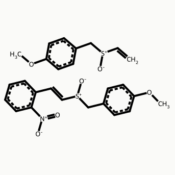 C=C[S+]([O-])Cc1ccc(OC)cc1.COc1ccc(C[S+]([O-])/C=C/c2ccccc2[N+](=O)[O-])cc1